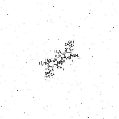 CC1=C(c2sc(S(=O)(=O)O)cc2C(N)=O)C(C)=[N+]2C1=Cc1c(C)c(-c3sc(S(=O)(=O)O)cc3C(N)=O)c(C)n1[B-]2(F)F